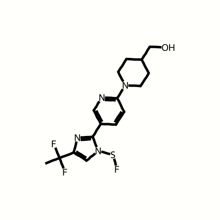 CC(F)(F)c1cn(SF)c(-c2ccc(N3CCC(CO)CC3)nc2)n1